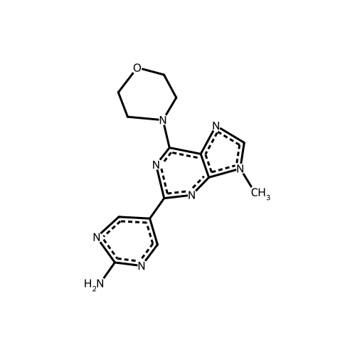 Cn1cnc2c(N3CCOCC3)nc(-c3cnc(N)nc3)nc21